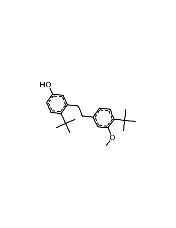 COc1cc(CCc2cc(O)ccc2C(C)(C)C)ccc1C(C)(C)C